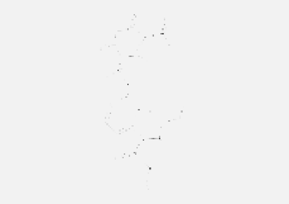 CC(=O)C1=C(O)C(=C(C)Nc2cccc(N(C(=O)C(O)CO)C(=O)C(O)CO)c2)C(=O)OC1=O